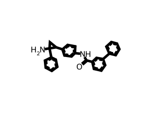 NC1(c2ccccc2)CC1c1ccc(NC(=O)c2cccc(-c3ccccc3)c2)cc1